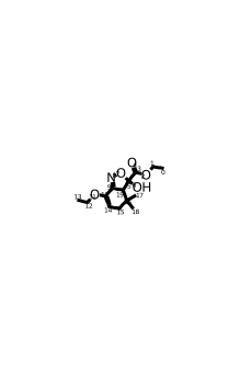 CCOC(=O)C1(O)ON=C2C(OCC)=CCC(C)(C)C21